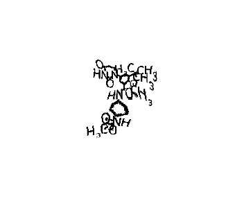 COc1c(C(=O)Nc2ccc(NS(C)(=O)=O)cc2)cc(N2CCC(=O)NC2=O)cc1C(C)(C)C